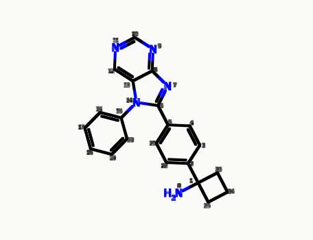 NC1(c2ccc(-c3nc4ncncc4n3-c3ccccc3)cc2)CCC1